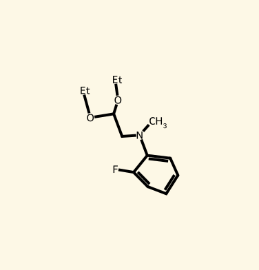 CCOC(CN(C)c1ccccc1F)OCC